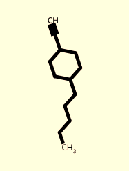 C#CC1CCC(CCCCC)CC1